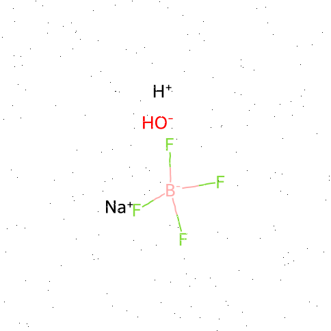 F[B-](F)(F)F.[H+].[Na+].[OH-]